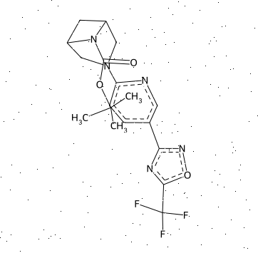 CC(C)(C)OC(=O)N1C2CC1CN(c1ccc(-c3noc(C(F)(F)F)n3)cn1)C2